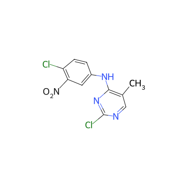 Cc1cnc(Cl)nc1Nc1ccc(Cl)c([N+](=O)[O-])c1